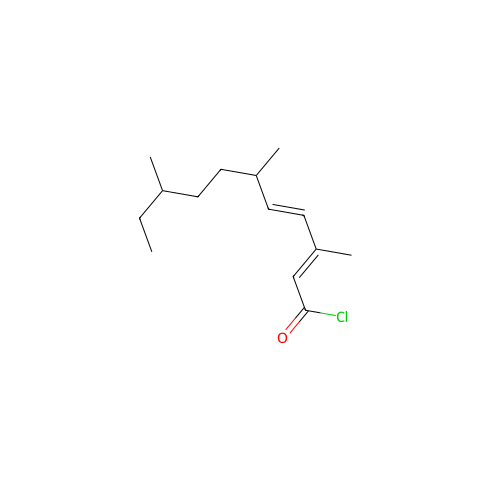 CCC(C)CCC(C)C=CC(C)=CC(=O)Cl